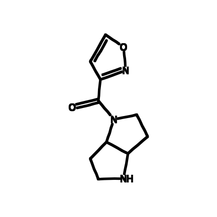 O=C(c1ccon1)N1CCC2NCCC21